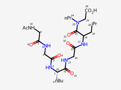 CCCC[C@H](NC(=O)CNC(=O)CNC(C)=O)C(=O)NCC(=O)NC(CC(C)C)C(=O)N(CCC)CC(=O)O